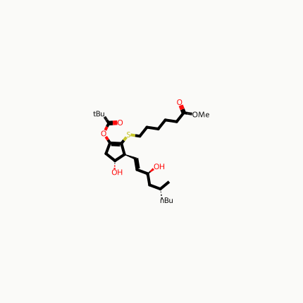 CCCC[C@@H](C)C[C@H](O)/C=C/[C@@H]1C(SCCCCCC(=O)OC)=C(OC(=O)C(C)(C)C)C[C@H]1O